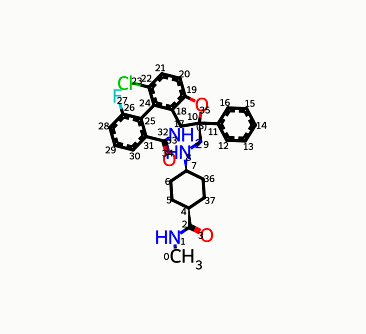 CNC(=O)[C@H]1CC[C@@H](NC[C@@]2(c3ccccc3)Cc3c(ccc(Cl)c3-c3c(F)cccc3C(N)=O)O2)CC1